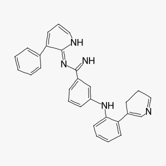 N=C(/N=c1\[nH]cccc1-c1ccccc1)c1cccc(Nc2ccccc2C2=CN=CCC2)c1